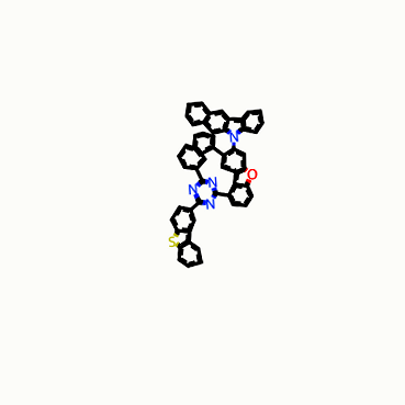 c1ccc(-c2nc(-c3ccc4sc5ccccc5c4c3)nc(-c3cccc4oc5cc(-n6c7ccccc7c7cc8ccccc8cc76)c(-c6ccccc6)cc5c34)n2)cc1